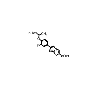 CCCCCCCCc1cn2cc(-c3ccc(OC(C)CCCCCC)c(F)c3)nc2s1